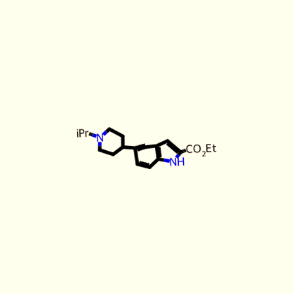 CCOC(=O)c1cc2cc(C3CCN(C(C)C)CC3)ccc2[nH]1